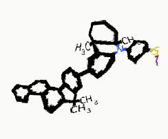 CC1(C)c2cc(-c3ccc4c(c3)C3(C)CCCCC3(C)N4c3ccc(SI)cc3)ccc2-c2c1ccc1c2ccc2ccccc21